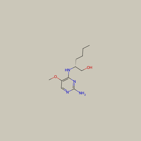 CCCC[C@H](CO)Nc1nc(N)ncc1OC